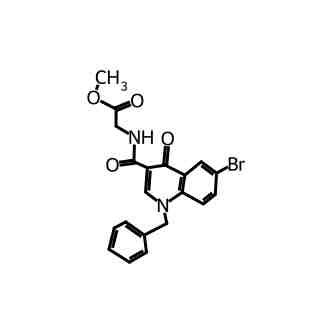 COC(=O)CNC(=O)c1cn(Cc2ccccc2)c2ccc(Br)cc2c1=O